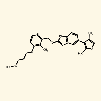 COCCCOc1ccnc(CSc2nc3cc(-c4c(C)noc4C)ccc3[nH]2)c1C